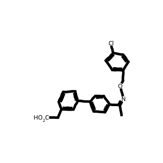 CC(=NOCc1ccc(Cl)cc1)c1ccc(-c2cccc(CC(=O)O)c2)cc1